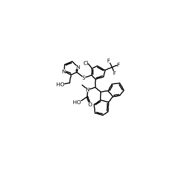 CN(C(=O)O)C(c1cc(C(F)(F)F)cc(Cl)c1Sc1nccnc1CO)C1c2ccccc2-c2ccccc21